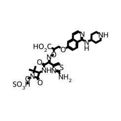 CC1(C)C(NC(=O)C(=NOC(COc2ccc3c(NC4CCNCC4)nccc3c2)C(=O)O)c2csc(N)n2)C(=O)N1OS(=O)(=O)O